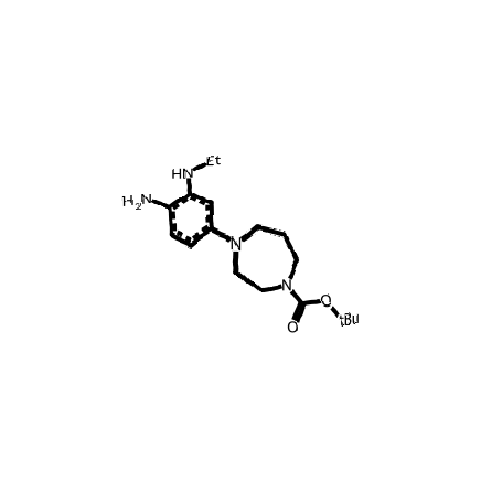 CCNc1cc(N2CCCN(C(=O)OC(C)(C)C)CC2)ccc1N